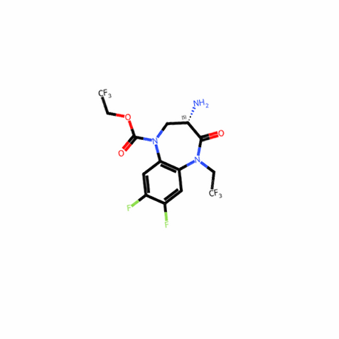 N[C@H]1CN(C(=O)OCC(F)(F)F)c2cc(F)c(F)cc2N(CC(F)(F)F)C1=O